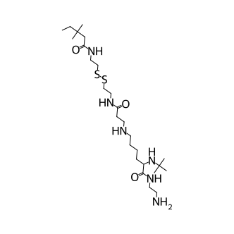 CCC(C)(C)CC(=O)NCCSSCCNC(=O)CCNCCCCC(NC(C)(C)C)C(=O)NCCN